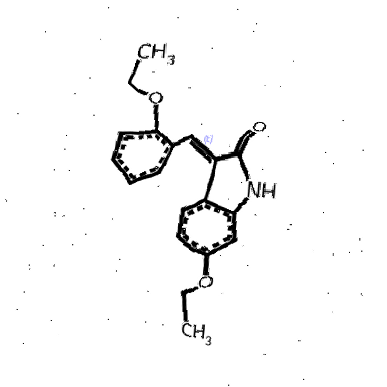 CCOc1ccc2c(c1)NC(=O)/C2=C/c1ccccc1OCC